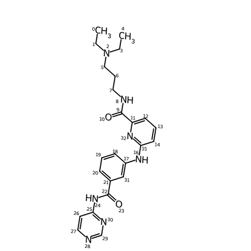 CCN(CC)CCCNC(=O)c1cccc(Nc2cccc(C(=O)Nc3ccncn3)c2)n1